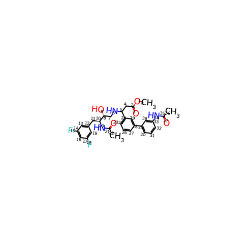 COC(=O)CC(NC[C@@H](O)[C@H](Cc1cc(F)cc(F)c1)NC(C)=O)c1cccc(-c2cccc(NC(C)=O)c2)c1